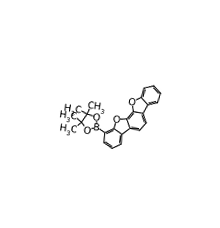 CC1(C)OB(c2cccc3c2oc2c3ccc3c4ccccc4oc32)OC1(C)C